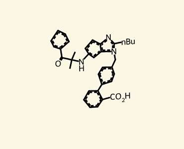 CCCCc1nc2ccc(NC(C)(C)C(=O)c3ccccc3)cc2n1Cc1ccc(-c2ccccc2C(=O)O)cc1